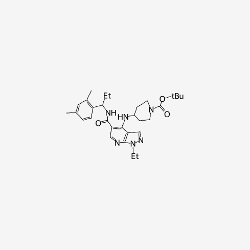 CCC(NC(=O)c1cnc2c(cnn2CC)c1NC1CCN(C(=O)OC(C)(C)C)CC1)c1ccc(C)cc1C